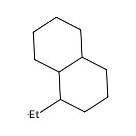 C[CH]C1CCCC2CCCCC12